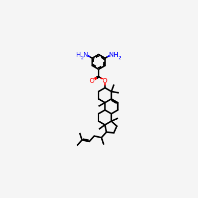 CC(C)=CCC(C)C1CCC2(C)C3CC=C4C(C)(C)C(OC(=O)c5cc(N)cc(N)c5)CCC4(C)C3CCC12C